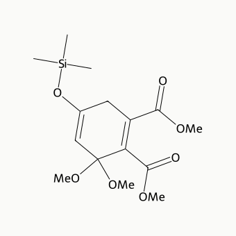 COC(=O)C1=C(C(=O)OC)C(OC)(OC)C=C(O[Si](C)(C)C)C1